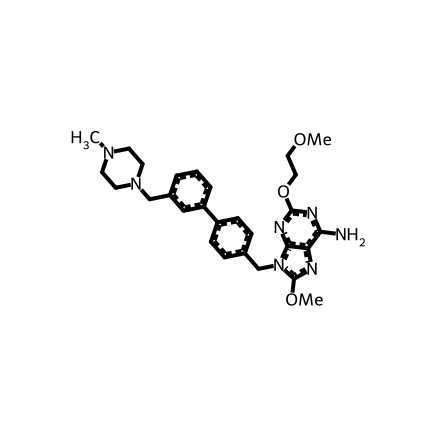 COCCOc1nc(N)c2nc(OC)n(Cc3ccc(-c4cccc(CN5CCN(C)CC5)c4)cc3)c2n1